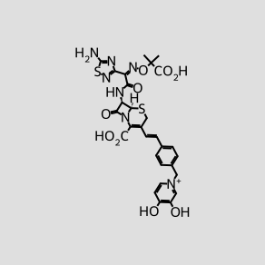 CC(C)(O/N=C(\C(=O)N[C@@H]1C(=O)N2C(C(=O)O)=C(/C=C/c3ccc(C[n+]4ccc(O)c(O)c4)cc3)CS[C@H]12)c1nsc(N)n1)C(=O)O